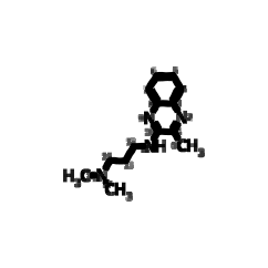 Cc1nc2ccccc2nc1NCCCN(C)C